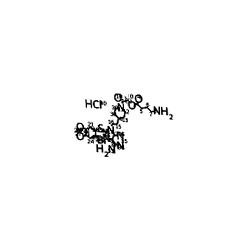 C[C@H](OC(=O)CCCN)C(=O)N1CCC(CCn2c(Sc3cc4c(cc3Br)OCO4)nc3c(N)ncnc32)CC1.Cl